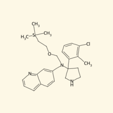 Cc1c(Cl)cccc1C1(N(COCC[Si](C)(C)C)c2ccc3cccnc3c2)CCNC1